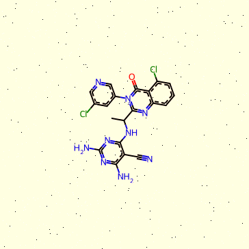 CC(Nc1nc(N)nc(N)c1C#N)c1nc2cccc(Cl)c2c(=O)n1-c1cncc(Cl)c1